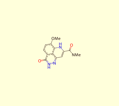 CNC(=O)C1=Cc2n[nH]c(=O)c3ccc(OC)c(c23)N1